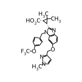 Cn1ccc(COc2ccc3nc([C@@H]4[C@H](C(=O)O)C4(C)C)n(Cc4ccc(OC(F)(F)F)cc4)c3c2)n1